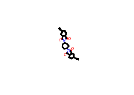 C#Cc1ccc2c(c1)C(=O)N(C1CCC[C@@H](N3C(=O)c4ccc(C#C)cc4C3=O)CC1)C2=O